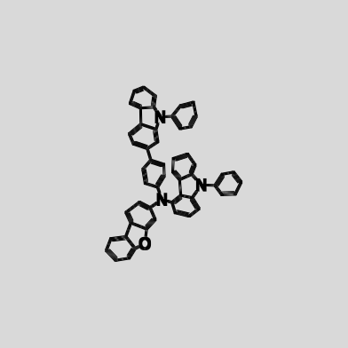 c1ccc(-n2c3ccccc3c3ccc(-c4ccc(N(c5ccc6c(c5)oc5ccccc56)c5cccc6c5c5ccccc5n6-c5ccccc5)cc4)cc32)cc1